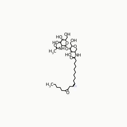 CCCCCC1OC1C/C=C\CCCCCCCCC(=O)NC1COC(CO)[C@@H](O[C@@H]2OC(CO)[C@@H](O)[C@H](O)C2NC(C)=O)[C@H]1O